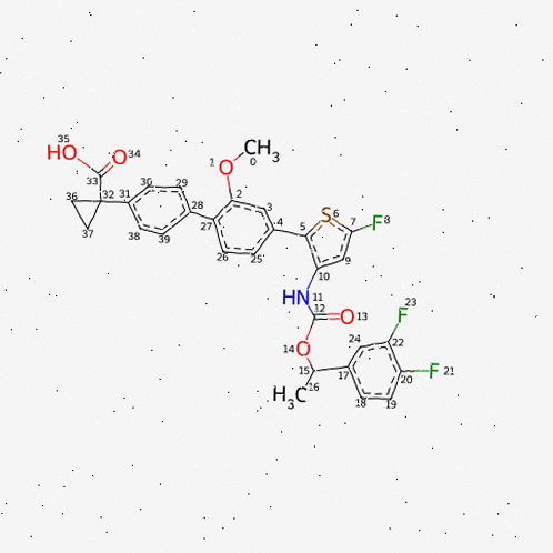 COc1cc(-c2sc(F)cc2NC(=O)OC(C)c2ccc(F)c(F)c2)ccc1-c1ccc(C2(C(=O)O)CC2)cc1